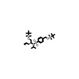 C=CC[C@@H](CO[Si](C)(C)C(C)(C)C)N(C(C)C)S(=O)(=O)c1ccc(CO[Si](C)(C)C(C)(C)C)cc1